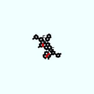 Cc1cccc(-c2cc(F)c(N(c3ccc4ccccc4c3)c3ccc4ccc5c(N(c6ccc7ccccc7c6)c6c(F)cc(-c7cccc(C)c7)cc6-c6cccc(C)c6)ccc6ccc3c4c65)c(-c3cccc(C)c3)c2)c1